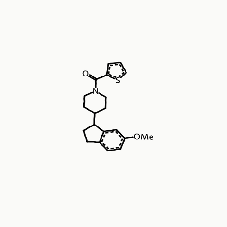 COc1ccc2c(c1)C(C1CCN(C(=O)c3cccs3)CC1)CC2